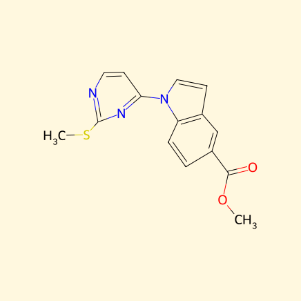 COC(=O)c1ccc2c(ccn2-c2ccnc(SC)n2)c1